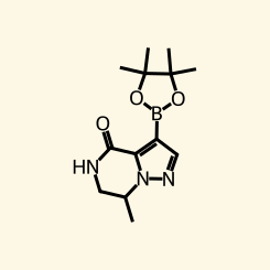 CC1CNC(=O)c2c(B3OC(C)(C)C(C)(C)O3)cnn21